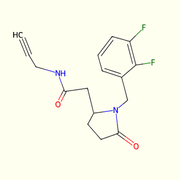 C#CCNC(=O)CC1CCC(=O)N1Cc1cccc(F)c1F